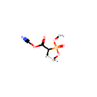 COP(=O)(OC)C(C)C(=O)OC#N